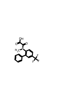 CN(C(=O)C(=O)O)c1ccc(C(F)(F)F)cc1-c1ccccc1